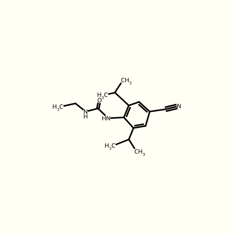 CCNC(=O)Nc1c(C(C)C)cc(C#N)cc1C(C)C